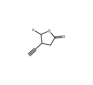 C#CC1CC(=O)OC1F